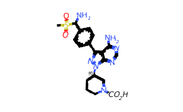 CS(=O)(=O)C(N)c1ccc(-c2nn([C@@H]3CCCN(C(=O)O)C3)c3ncnc(N)c23)cc1